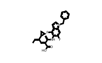 C=C(Nc1c(F)cc2c(ccn2Cc2ccccc2)c1F)/C(=C\C(=C/C)C1CC1)C(=O)O